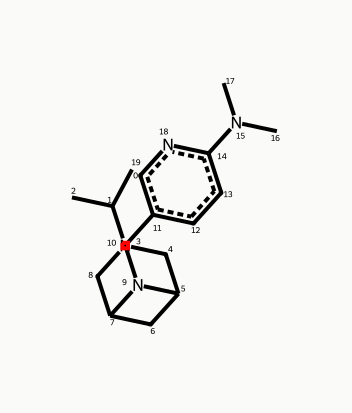 CC(C)N1CC2CC(C1)N2Cc1ccc(N(C)C)nc1